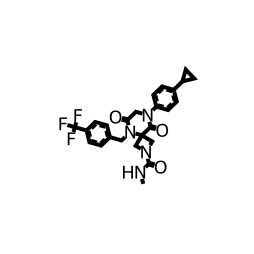 CNC(=O)N1CC2(C1)C(=O)N(c1ccc(C3CC3)cc1)CC(=O)N2Cc1ccc(C(F)(F)F)cc1